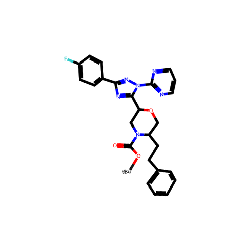 CC(C)(C)OC(=O)N1CC(c2nc(-c3ccc(F)cc3)nn2-c2ncccn2)OCC1CCc1ccccc1